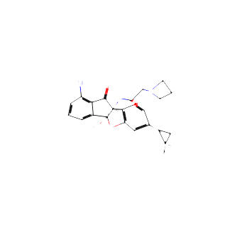 C[C@@H]1C[C@@H]1c1ccc2c(c1)O[C@]1(O)c3cccc(N)c3C(=O)[C@]21NC(=O)CN1CCC1